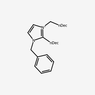 CCCCCCCCCCC[n+]1ccn(Cc2ccccc2)c1CCCCCCCCCC